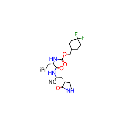 CC(C)C[C@H](NC(=O)OCC1CCC(F)(F)CC1)C(=O)N[C@H](C#N)C[C@@H]1CCNC1=O